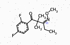 CC/C(=N/OC)C(C)(C)C(=O)c1ccc(F)cc1F